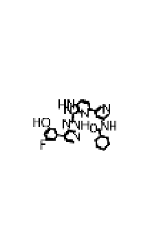 O=C(Nc1cncc(-c2ccc3[nH]nc(-c4nc5c(-c6cc(O)cc(F)c6)ccnc5[nH]4)c3n2)c1)C1CCCCC1